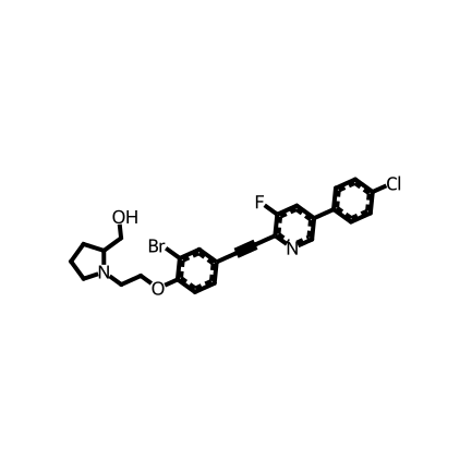 OCC1CCCN1CCOc1ccc(C#Cc2ncc(-c3ccc(Cl)cc3)cc2F)cc1Br